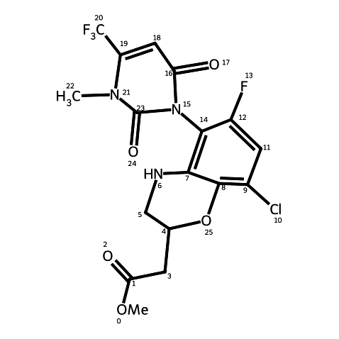 COC(=O)CC1CNc2c(c(Cl)cc(F)c2-n2c(=O)cc(C(F)(F)F)n(C)c2=O)O1